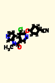 CN(C(=O)c1cnc(Oc2ccc(C#N)cc2)c(Cl)c1)c1cccnc1